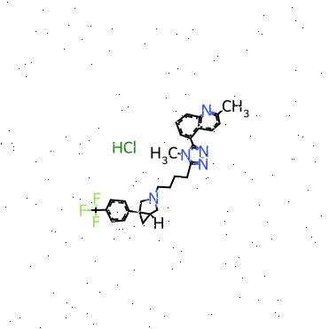 Cc1ccc2c(-c3nnc(CCCCN4C[C@@H]5C[C@]5(c5ccc(C(F)(F)F)cc5)C4)n3C)cccc2n1.Cl